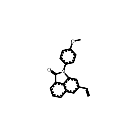 C=Cc1cc2c3c(cccc3c1)C(=O)N2c1ccc(OC)cc1